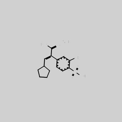 CS(=O)(=O)c1ccc(/C(=C\C2CCCC2)C(=O)O)cc1Cl.[NaH]